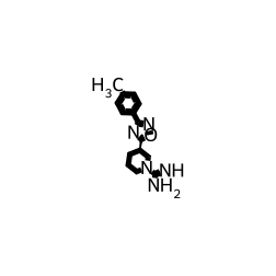 Cc1ccc(-c2noc([C@@H]3CCCN(C(=N)N)C3)n2)cc1